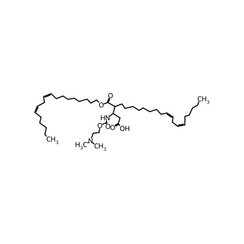 CCCCC/C=C\C/C=C\CCCCCCCCOC(=O)C(CCCCCCCC/C=C\C/C=C\CCCCC)C(CC(=O)O)NC(=O)OCCN(C)C